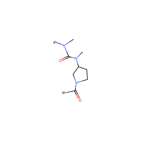 CC(C)C(=O)N1CCC(N(C)C(=O)N(C)C(C)C)C1